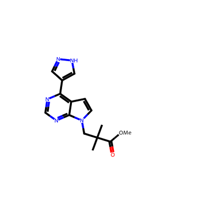 COC(=O)C(C)(C)Cn1ccc2c(-c3cn[nH]c3)ncnc21